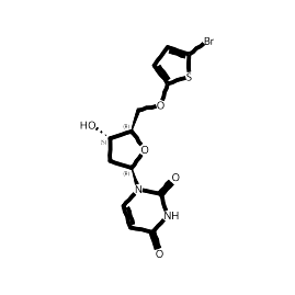 O=c1ccn([C@H]2C[C@H](O)[C@@H](COc3ccc(Br)s3)O2)c(=O)[nH]1